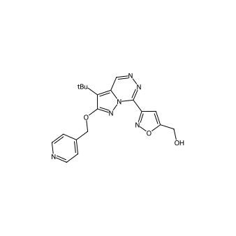 CC(C)(C)c1c(OCc2ccncc2)nn2c(-c3cc(CO)on3)nncc12